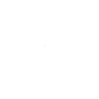 CCCCCCC(=O)O[C@@H]1CCC2C(CCC3C[C@H](CCC)CCC32)C1